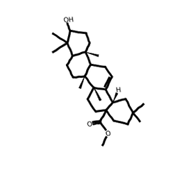 COC(=O)C12CCC(C)(C)C[C@H]1C1=CCC3[C@@]4(C)CCC(O)C(C)(C)C4CC[C@@]3(C)[C@@]1(C)CC2